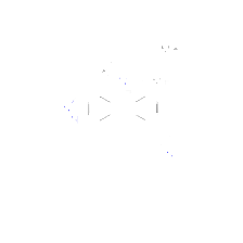 COCC(C)(F)CN1[C@H](c2ccc(OC3CN(CCCF)C3)cc2OC)c2ccc3[nH]ncc3c2C[C@H]1C